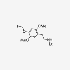 CCNCCc1cc(OC)c(OCF)cc1OC